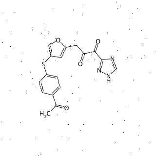 CC(=O)c1ccc(Sc2coc(CC(=O)C(=O)c3nc[nH]n3)c2)cc1